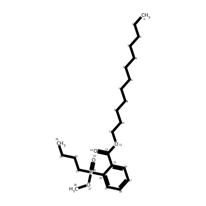 CCCCCCCCCCCCOC(=O)c1ccccc1P(=O)(CCCC)OC